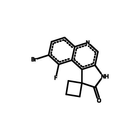 O=C1Nc2cnc3ccc(Br)c(F)c3c2C12CCC2